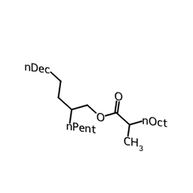 CCCCCCCCCCCCC(CCCCC)COC(=O)C(C)CCCCCCCC